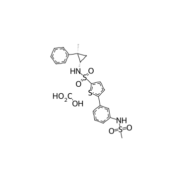 C[C@]1(c2ccccc2)C[C@@H]1NS(=O)(=O)c1ccc(-c2cccc(NS(C)(=O)=O)c2)s1.O=C(O)O